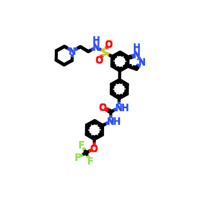 O=C(Nc1ccc(-c2cc(S(=O)(=O)NCCN3CCCCC3)cc3[nH]ncc23)cc1)Nc1cccc(OC(F)(F)F)c1